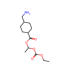 CCOC(=O)OC(C)OC(=O)C1CCC(CN)CC1